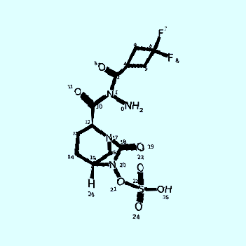 NN(C(=O)C1CC(F)(F)C1)C(=O)[C@@H]1CC[C@@H]2CN1C(=O)N2OS(=O)(=O)O